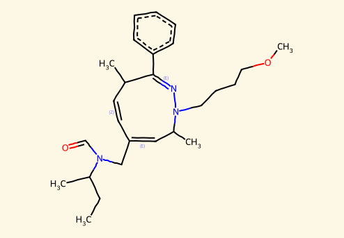 CCC(C)N(C=O)CC1=C/C(C)N(CCCCOC)/N=C(/c2ccccc2)C(C)/C=C\1